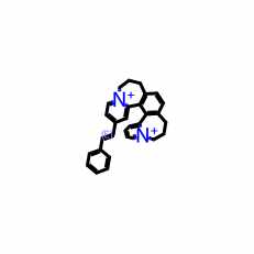 C(=C\c1cc[n+]2c(c1)-c1c(ccc3c1-c1cccc[n+]1CCC3)CCC2)/c1ccccc1